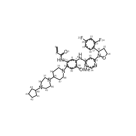 C=CC(=O)Nc1cc(Nc2cc(N3OCCC3c3ccc(F)cc3F)ncn2)c(OC)cc1N1CCC(N2CCN(C3CCCC3)CC2)CC1